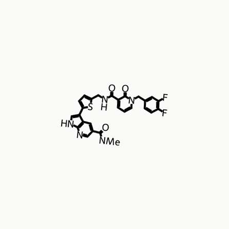 CNC(=O)c1cnc2[nH]cc(-c3ccc(CNC(=O)c4cccn(Cc5ccc(F)c(F)c5)c4=O)s3)c2c1